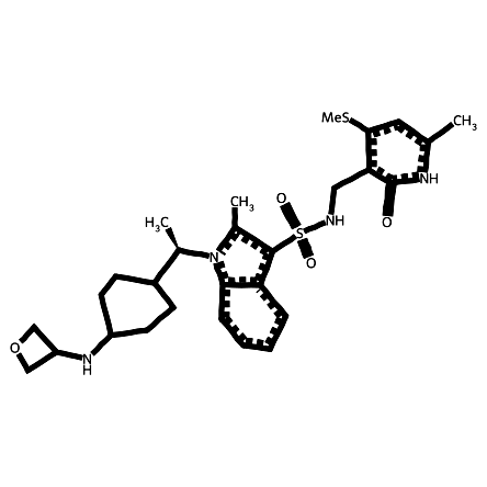 CSc1cc(C)[nH]c(=O)c1CNS(=O)(=O)c1c(C)n([C@H](C)C2CCC(NC3COC3)CC2)c2ccccc12